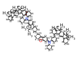 CC1(C)c2cc(-c3ccc4oc5cc(N(c6ccccc6)c6cccc(-c7cccc8c7-c7cc9c(cc7C8(C)C)C(C)(C)c7ccccc7-9)c6)ccc5c4c3)ccc2-c2ccc(N(c3ccccc3)c3ccccc3-c3cccc4c3-c3cc5c(cc3C4(C)C)C(C)(C)c3ccccc3-5)cc21